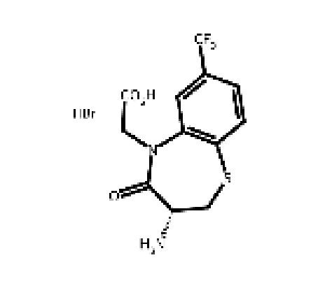 Br.N[C@H]1CSc2ccc(C(F)(F)F)cc2N(CC(=O)O)C1=O